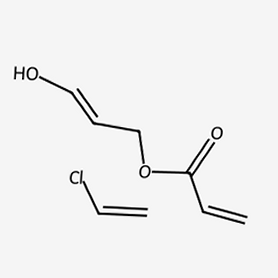 C=CC(=O)OCC=CO.C=CCl